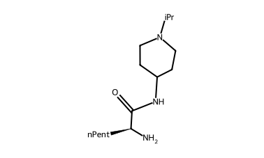 CCCCC[C@H](N)C(=O)NC1CCN(C(C)C)CC1